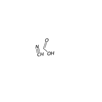 C#N.O=CO